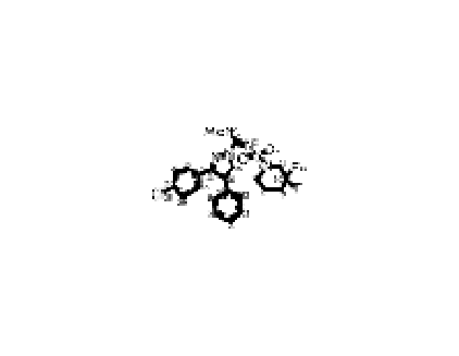 CNC(=NS(=O)(=O)N1CCCC(F)(F)C1)N1CC(c2ccccc2)C(c2ccc(Cl)cc2)=N1